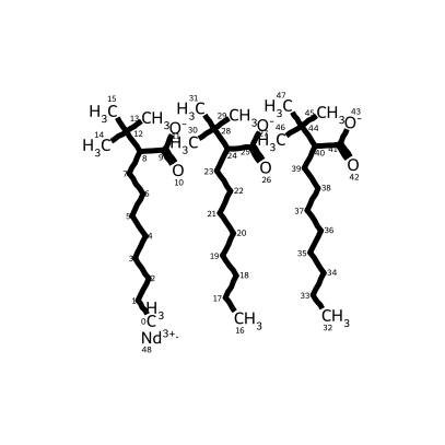 CCCCCCCCC(C(=O)[O-])C(C)(C)C.CCCCCCCCC(C(=O)[O-])C(C)(C)C.CCCCCCCCC(C(=O)[O-])C(C)(C)C.[Nd+3]